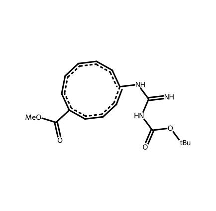 COC(=O)c1cccccc(NC(=N)NC(=O)OC(C)(C)C)ccc1